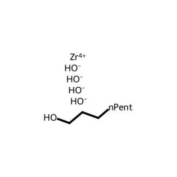 CCCCCCCCO.[OH-].[OH-].[OH-].[OH-].[Zr+4]